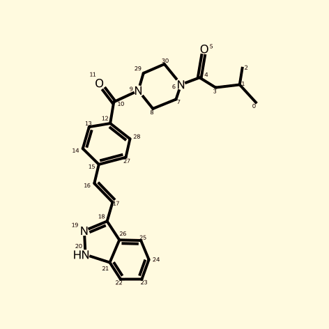 CC(C)CC(=O)N1CCN(C(=O)c2ccc(/C=C/c3n[nH]c4ccccc34)cc2)CC1